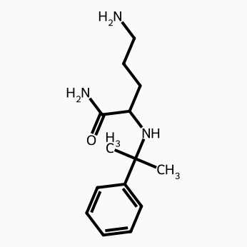 CC(C)(NC(CCCN)C(N)=O)c1ccccc1